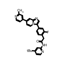 Cc1cc(-c2ccn3c(-c4ccc(CC(=O)Nc5cc(C(C)(C)C)ccn5)c(F)c4)cnc3c2)ccn1